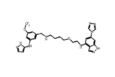 FC(F)(F)Oc1cc(CNCCCCOCCNc2cc(-n3cnnc3)cc3[nH]ncc23)cc(Nc2ccn[nH]2)c1